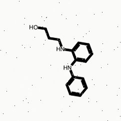 OCCCNc1ccccc1Nc1ccccc1